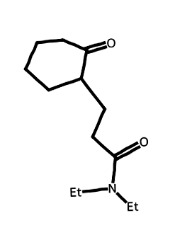 CCN(CC)C(=O)CCC1CCCCC1=O